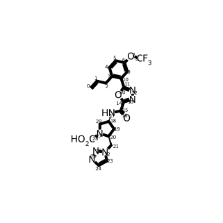 C=CCc1ccc(OC(F)(F)F)cc1-c1nnc(C(=O)N[C@@H]2C[C@@H](Cn3ccnn3)N(C(=O)O)C2)o1